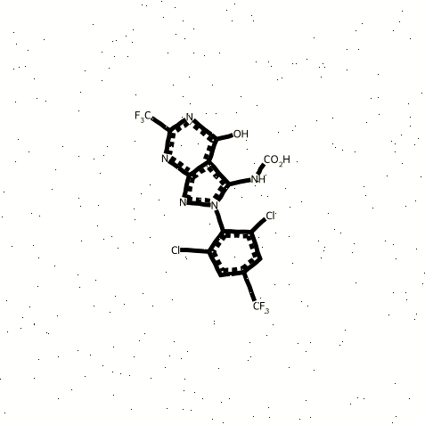 O=C(O)Nc1c2c(O)nc(C(F)(F)F)nc2nn1-c1c(Cl)cc(C(F)(F)F)cc1Cl